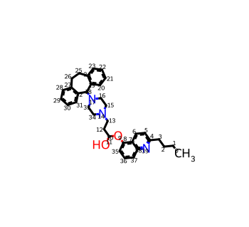 CCCCc1ccc2c(OC(O)CCN3CCN(C4c5ccccc5CCc5ccccc54)CC3)cccc2n1